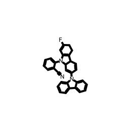 N#Cc1ccccc1N1C2=C(CCC(F)=C2)C2C=CC(n3c4ccccc4c4ccccc43)=CC21